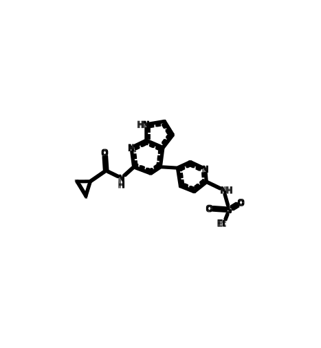 CCS(=O)(=O)Nc1ccc(-c2cc(NC(=O)C3CC3)nc3[nH]ccc23)cn1